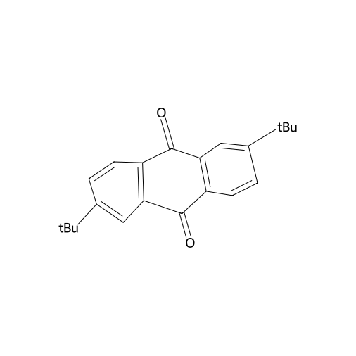 CC(C)(C)c1ccc2c(c1)C(=O)c1ccc(C(C)(C)C)cc1C2=O